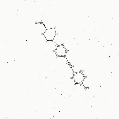 CCCCC[C@H]1CC[C@H](c2ccc(C#Cc3ncc(CCC)cn3)cc2)CC1